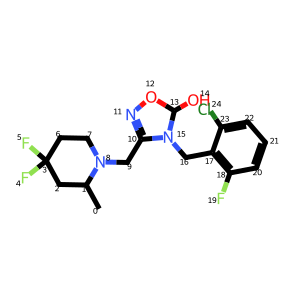 CC1CC(F)(F)CCN1CC1=NOC(O)N1Cc1c(F)cccc1Cl